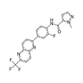 Cn1nccc1C(=O)Nc1ccc(-c2ccc3nc(C(F)(F)F)ccc3n2)cc1F